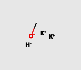 C[O-].[H-].[K+].[K+]